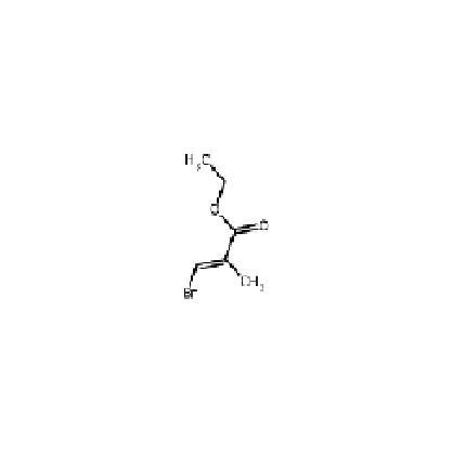 CCOC(=O)C(C)=CBr